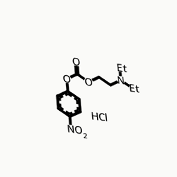 CCN(CC)CCOC(=O)Oc1ccc([N+](=O)[O-])cc1.Cl